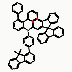 CC1(C)c2ccccc2-c2cccc(-c3ccc(N(c4ccc5c(c4)C4(c6ccccc6-c6ccccc64)c4ccccc4-5)c4cccc(-c5ccccc5)c4-c4ccccc4)cn3)c21